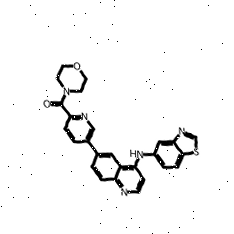 O=C(c1ccc(-c2ccc3nccc(Nc4ccc5scnc5c4)c3c2)cn1)N1CCOCC1